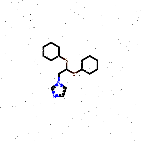 c1cn(CC(SC2CCCCC2)SC2CCCCC2)cn1